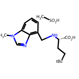 CS(=O)(=O)O.Cn1cnc2c(CN[C@@H](CCC(C)(C)C)C(=O)O)cccc21